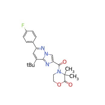 CC(C)(C)c1cc(-c2ccc(F)cc2)nn2cc(C(=O)N3CCOC(=O)C3(C)C)nc12